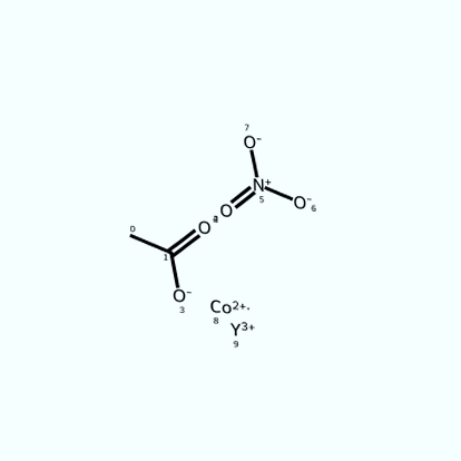 CC(=O)[O-].O=[N+]([O-])[O-].[Co+2].[Y+3]